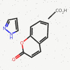 CC(=O)O.O=c1ccc2ccccc2o1.c1cn[nH]c1